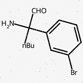 CCCCC(N)(C=O)c1cccc(Br)c1